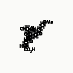 COC1CCC(N2CCN(c3ccc(C[C@@H](C(=O)Nc4ccc5[nH]c(C(=O)O)cc5c4)N4CCN(c5cc(Cl)ccc5-n5cnnn5)C(=O)C4=O)cc3)C(=O)C2)CC1